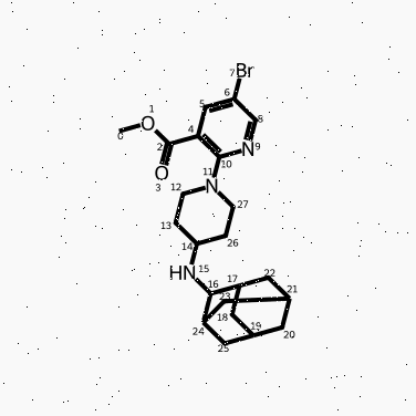 COC(=O)c1cc(Br)cnc1N1CCC(NC2C3CC4CC(C3)CC2C4)CC1